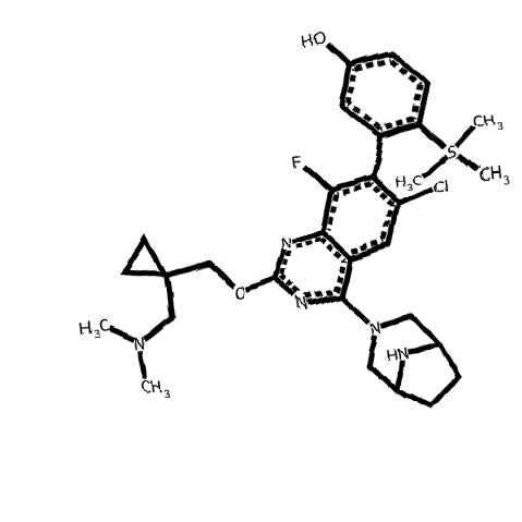 CN(C)CC1(COc2nc(N3CC4CCC(C3)N4)c3cc(Cl)c(-c4cc(O)ccc4S(C)(C)C)c(F)c3n2)CC1